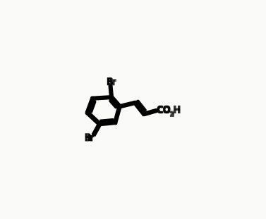 O=C(O)C=Cc1cc(Br)ccc1Br